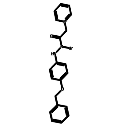 O=C(C[n+]1ccccc1)N(Br)Nc1ccc(OCc2ccccc2)cc1